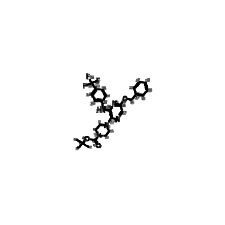 CC(C)(C)OC(=O)N1CCN(c2ncc(OCc3ccccc3)nc2Nc2ccc(C(F)(F)F)cc2)CC1